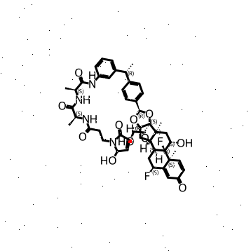 C[C@H](c1ccc([C@@H]2O[C@@H]3C[C@H]4[C@@H]5C[C@H](F)C6=CC(=O)C=C[C@]6(C)[C@@]5(F)[C@@H](O)C[C@]4(C)[C@]3(C(=O)CO)O2)cc1)c1cccc(NC(=O)[C@H](C)NC(=O)[C@H](C)NC(=O)CCN2C(=O)C=CC2O)c1